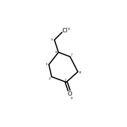 O=C1CCC(CCl)CC1